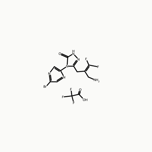 NCC(Cc1n[nH]c(=O)n1-c1cnc(Br)cn1)=C(F)F.O=C(O)C(F)(F)F